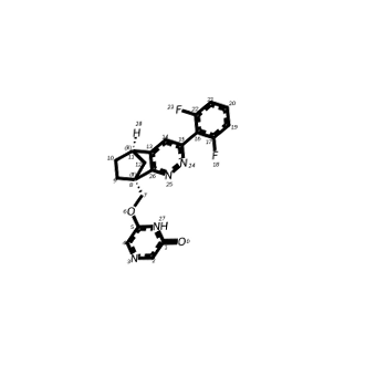 O=c1cncc(OC[C@]23CC[C@H](C2)c2cc(-c4c(F)cccc4F)nnc23)[nH]1